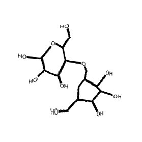 OCC1CC(OC2C(CO)OC(O)C(O)C2O)C(O)C(O)C1O